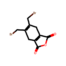 O=C1OC(=O)C2=C1CC(CBr)=C(CBr)C2